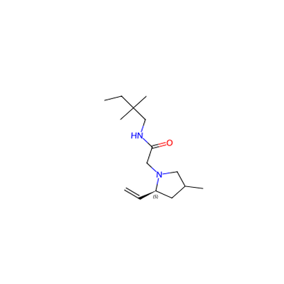 C=C[C@@H]1CC(C)CN1CC(=O)NCC(C)(C)CC